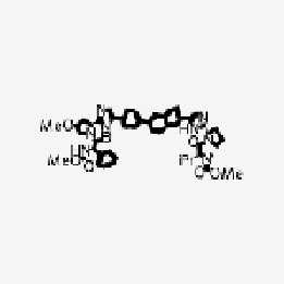 COC(=O)N[C@@H](C(=O)N1C[C@@H](OC)C[C@H]1c1ncc(-c2ccc(-c3ccc4cc(-c5cnc([C@@H]6CCCN6C(=O)[C@H](C(C)C)N(C)C(=O)OC)[nH]5)ccc4c3)cc2)[nH]1)c1ccccc1